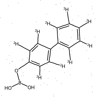 [2H]c1c([2H])c([2H])c(-c2c([2H])c([2H])c(OB(O)O)c([2H])c2[2H])c([2H])c1[2H]